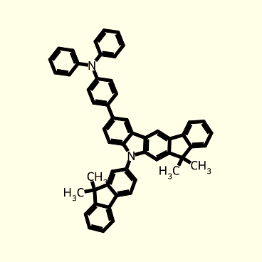 CC1(C)c2ccccc2-c2ccc(-n3c4ccc(-c5ccc(N(c6ccccc6)c6ccccc6)cc5)cc4c4cc5c(cc43)C(C)(C)c3ccccc3-5)cc21